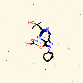 CC(C)(O)c1ncc2nn(-c3ccccc3)c(OC(N)=O)c2n1